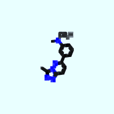 Cc1nnc2ccc(-c3cccc(N(C)C(=O)O)c3)nn12